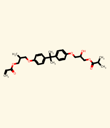 C=CC(=O)OCC(C)COc1ccc(C(C)(C)c2ccc(OCC(O)COC(=O)C(C)C)cc2)cc1